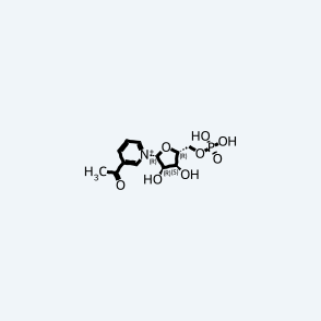 CC(=O)c1ccc[n+]([C@@H]2O[C@H](COP(=O)(O)O)[C@@H](O)[C@H]2O)c1